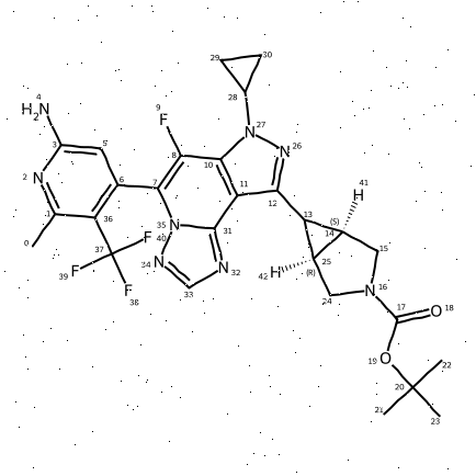 Cc1nc(N)cc(-c2c(F)c3c(c(C4[C@H]5CN(C(=O)OC(C)(C)C)C[C@@H]45)nn3C3CC3)c3ncnn23)c1C(F)(F)F